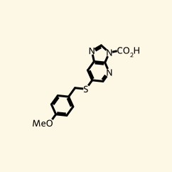 COc1ccc(CSc2cnc3c(c2)ncn3C(=O)O)cc1